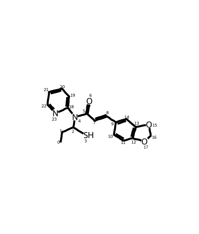 CCC(S)N(C(=O)/C=C/c1ccc2c(c1)OCO2)c1ccccn1